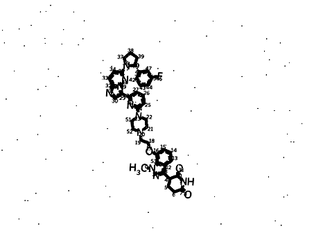 Cn1nc(C2CCC(=O)NC2=O)c2cccc(OCCN3CCN(c4cccc(-c5cnc6ccc(N7CCC[C@@H]7c7cccc(F)c7)nn56)n4)CC3)c21